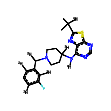 [2H]c1cc([2H])c(C([2H])N2CCC([2H])(N([2H])c3ncnc4sc(C([2H])(C)C)nc34)CC2)c([2H])c1F